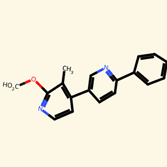 Cc1c(-c2ccc(-c3ccccc3)nc2)ccnc1OC(=O)O